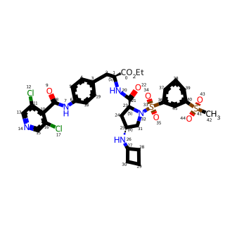 CCOC(=O)[C@H](Cc1ccc(NC(=O)c2c(Cl)cncc2Cl)cc1)NC(=O)[C@@H]1C[C@@H](NC2CCC2)CN1S(=O)(=O)c1cccc(S(C)(=O)=O)c1